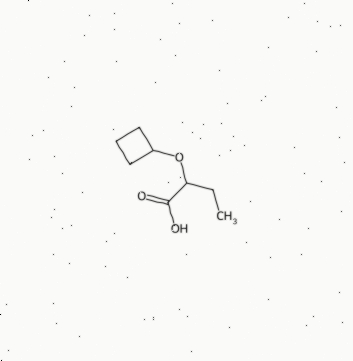 CCC(OC1CCC1)C(=O)O